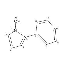 On1cccc1-c1ccccc1